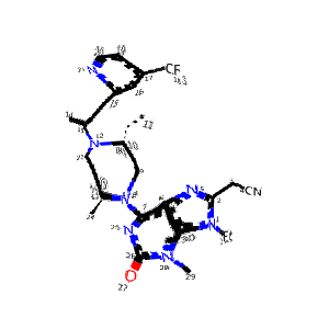 CCn1c(CC#N)nc2c(N3C[C@@H](C)N(C(C)c4cc(C(F)(F)F)ccn4)C[C@@H]3C)nc(=O)n(C)c21